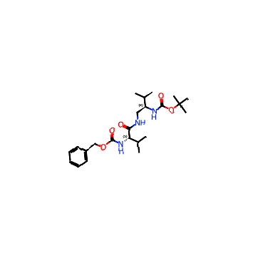 CC(C)[C@H](CNC(=O)[C@@H](NC(=O)OCc1ccccc1)C(C)C)NC(=O)OC(C)(C)C